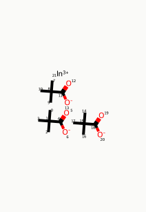 CC(C)(C)C(=O)[O-].CC(C)(C)C(=O)[O-].CC(C)(C)C(=O)[O-].[In+3]